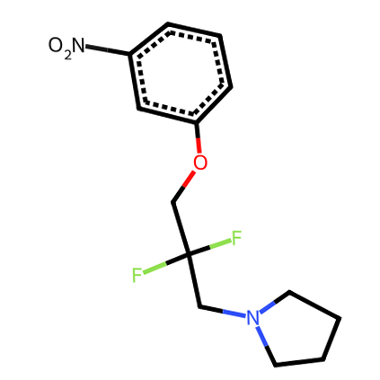 O=[N+]([O-])c1cccc(OCC(F)(F)CN2CCCC2)c1